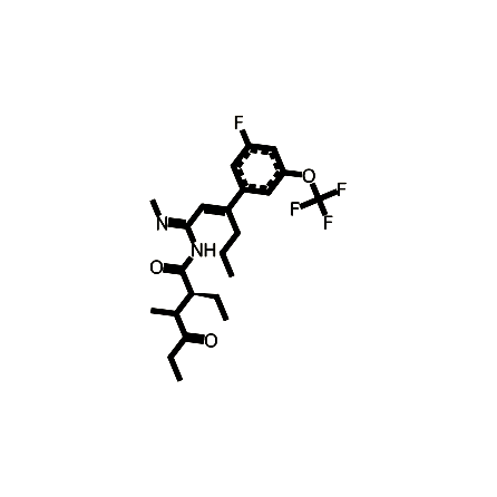 CCC/C(=C\C(=N/C)NC(=O)[C@@H](CC)C(C)C(=O)CC)c1cc(F)cc(OC(F)(F)F)c1